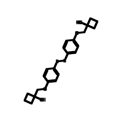 OC1(COc2ccc(SSc3ccc(OCC4(O)CCC4)cc3)cc2)CCC1